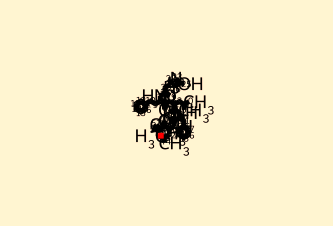 CC(C)CC(NC(=O)C(CCc1ccccc1)NC(=O)Cc1cnc(O)s1)C(=O)NC(Cc1ccccc1)C(=O)NC(CC(C)C)C(=O)C1(C)CO1